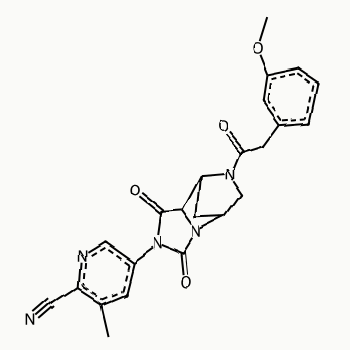 COc1cccc(CC(=O)N2CC3CC2C2C(=O)N(c4cnc(C#N)c(C)c4)C(=O)N32)c1